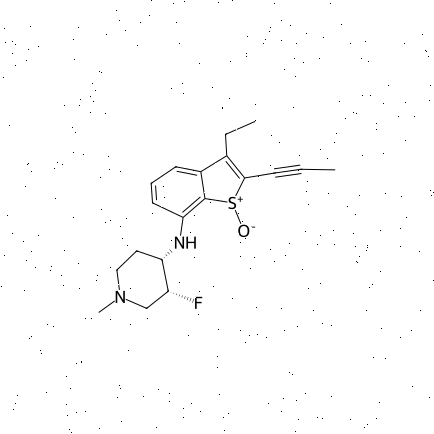 CC#Cc1c(CC)c2cccc(N[C@H]3CCN(C)C[C@H]3F)c2[s+]1[O-]